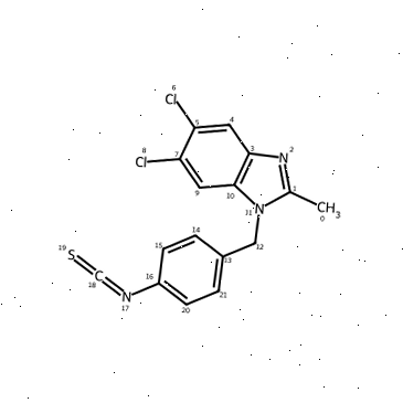 Cc1nc2cc(Cl)c(Cl)cc2n1Cc1ccc(N=C=S)cc1